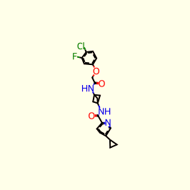 O=C(COc1ccc(Cl)c(F)c1)NC12CC(NC(=O)c3ccc(C4CC4)cn3)(C1)C2